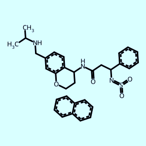 CC(C)NCc1ccc2c(c1)OCCC2NC(=O)CC(N=S(=O)=O)c1ccccc1.c1ccc2ccccc2c1